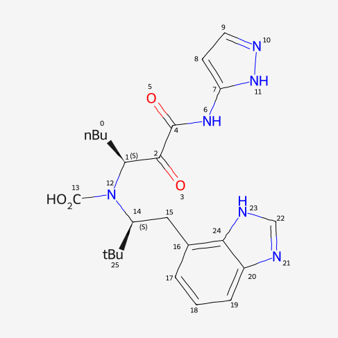 CCCC[C@@H](C(=O)C(=O)Nc1ccn[nH]1)N(C(=O)O)[C@@H](Cc1cccc2nc[nH]c12)C(C)(C)C